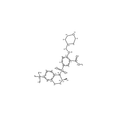 COC(=O)c1cc(S(=O)(=O)N2c3ccc(C(C)(F)F)cc3CC[C@@H]2C)ccc1OCC1CCOCC1